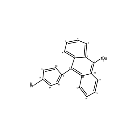 CC(C)(C)c1c2ccccc2c(-c2ccc(Br)cc2)c2ccccc12